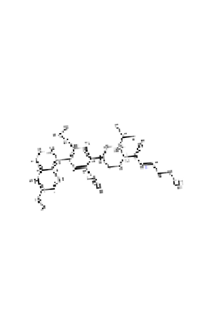 C=Cc1cnc2c(-c3cc(C#N)c(N4CCN(C(=O)/C=C/CCO)[C@H](C(C)C)C4)nc3C3CC3)cccc2n1